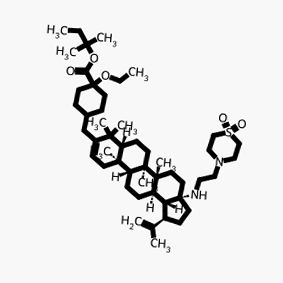 C=C(C)[C@@H]1CC[C@]2(NCCN3CCS(=O)(=O)CC3)CC[C@]3(C)[C@H](CC[C@@H]4[C@@]5(C)CC=C(CC6CCC(OCC)(C(=O)OC(C)(C)CC)CC6)C(C)(C)[C@@H]5CC[C@]43C)[C@@H]12